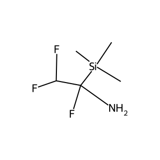 C[Si](C)(C)C(N)(F)C(F)F